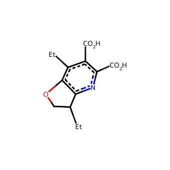 CCc1c2c(nc(C(=O)O)c1C(=O)O)C(CC)CO2